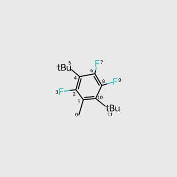 Cc1c(F)c(C(C)(C)C)c(F)c(F)c1C(C)(C)C